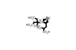 NC(Cc1c[nH]cn1)C(=O)O.O=C(O)CC(O)(CC(=O)O)C(=O)[O-].[Na+]